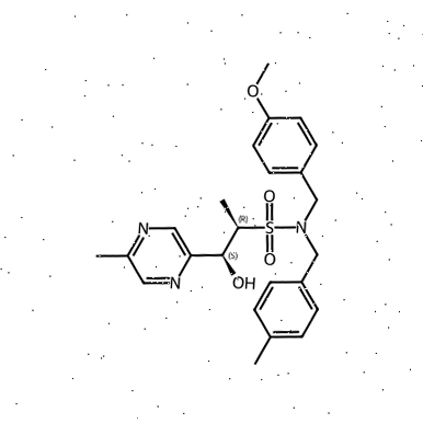 COc1ccc(CN(Cc2ccc(C)cc2)S(=O)(=O)[C@H](C)[C@@H](O)c2cnc(C)cn2)cc1